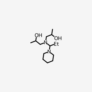 CCC(N1CCCCC1)N(CC(C)O)CC(C)O